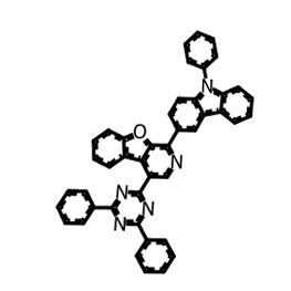 c1ccc(-c2nc(-c3ccccc3)nc(-c3cnc(-c4ccc5c(c4)c4ccccc4n5-c4ccccc4)c4oc5ccccc5c34)n2)cc1